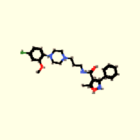 COc1cc(Cl)ccc1N1CCN(CCCNC(=O)c2c(-c3ccccc3)noc2C)CC1